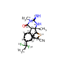 CN1C(=N)N[C@](C)(c2ccc(C#N)s2)C(c2ccc(C(C)(F)F)cc2)C1=O